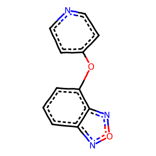 c1cc(Oc2ccncc2)c2nonc2c1